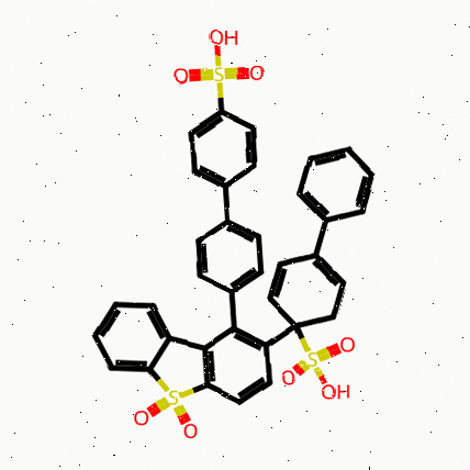 O=S(=O)(O)c1ccc(-c2ccc(-c3c(C4(S(=O)(=O)O)C=CC(c5ccccc5)=CC4)ccc4c3-c3ccccc3S4(=O)=O)cc2)cc1